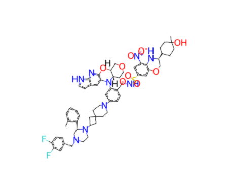 Cc1ccccc1[C@@H]1CN(Cc2ccc(F)c(F)c2)CCN1C1CC2(CCN(c3ccc(C(=O)NS(=O)(=O)c4cc5c(c([N+](=O)[O-])c4)N[C@@H](C4CCC(C)(O)CC4)CO5)c(N4c5cc6cc[nH]c6nc5O[C@H]5COCC[C@@H]54)c3)CC2)C1